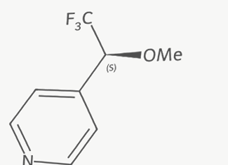 CO[C@@H](c1ccncc1)C(F)(F)F